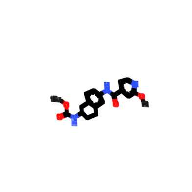 CCOc1cc(C(=O)Nc2ccc3c(c2)CCC(NC(=O)OC(C)(C)C)C3)ccn1